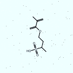 C=C(C)C(=C)OCCC(C)S(=O)(=O)O